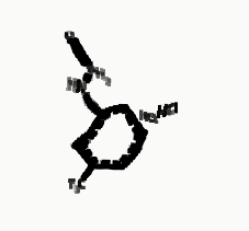 Cl.Cl.O=[PH2]Nc1cccc(C(F)(F)F)c1